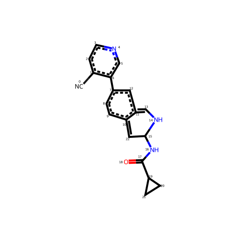 N#Cc1ccncc1-c1ccc2c(c1)=CNC(NC(=O)C1CC1)C=2